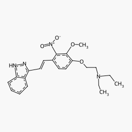 CCN(CC)CCOc1ccc(C=Cc2n[nH]c3ccccc23)c([N+](=O)[O-])c1OC